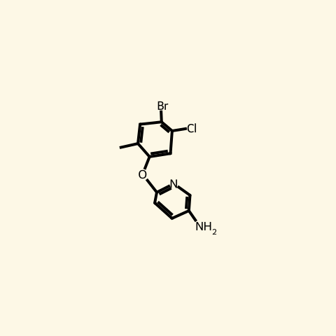 Cc1cc(Br)c(Cl)cc1Oc1ccc(N)cn1